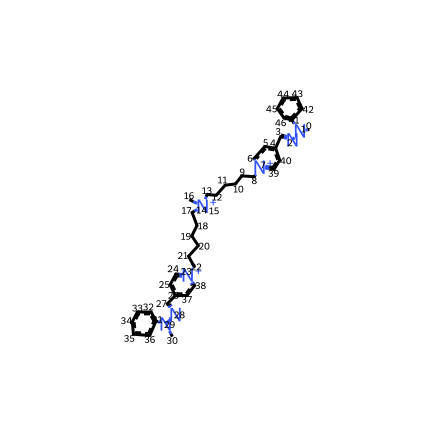 CN(/N=C/c1cc[n+](CCCCCC[N+](C)(C)CCCCCC[n+]2ccc(/C=N/N(C)c3ccccc3)cc2)cc1)c1ccccc1